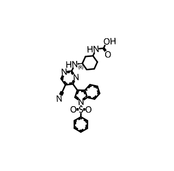 N#Cc1cnc(N[C@@H]2CCCC(NC(=O)O)C2)nc1-c1cn(S(=O)(=O)c2ccccc2)c2ccccc12